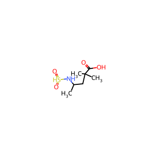 CC(CC(C)(C)C(=O)O)N[SH](=O)=O